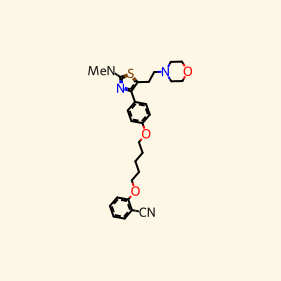 CNc1nc(-c2ccc(OCCCCCOc3ccccc3C#N)cc2)c(CCN2CCOCC2)s1